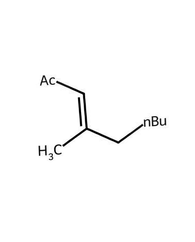 CCCCCC(C)=CC(C)=O